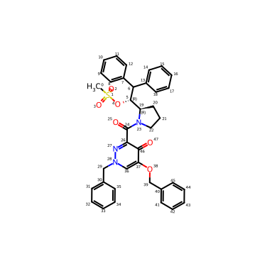 CS(=O)(=O)O[C@H](C(c1ccccc1)c1ccccc1)[C@H]1CCCN1C(=O)c1nn(Cc2ccccc2)cc(OCc2ccccc2)c1=O